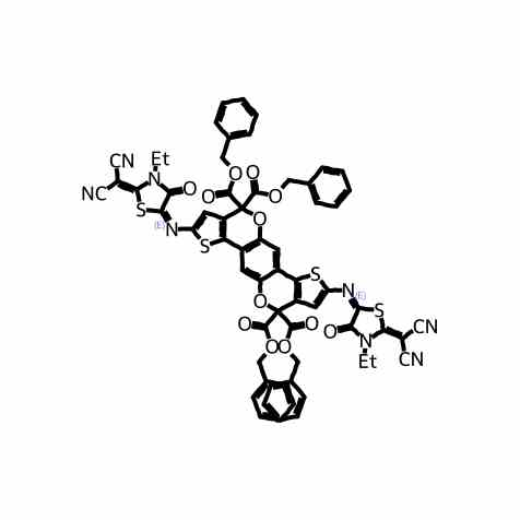 CCN1C(=O)/C(=N\c2cc3c(s2)-c2cc4c(cc2OC3(C(=O)OCc2ccccc2)C(=O)OCc2ccccc2)-c2sc(/N=C3/SC(=C(C#N)C#N)N(CC)C3=O)cc2C(C(=O)OCc2ccccc2)(C(=O)OCc2ccccc2)O4)SC1=C(C#N)C#N